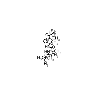 CC(C)C(C(=O)C(F)(F)C(F)(F)F)N1CCC[C@H]1C(=O)NC(=O)[C@@H](NC(=O)OC(C)(C)C)C(C)C